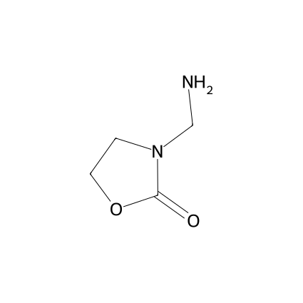 NCN1CCOC1=O